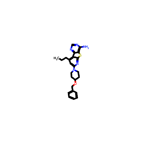 CCCc1cc(N2CCC(OCc3ccccc3)CC2)nc2sc3c(N)ncnc3c12